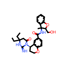 CCC1(CC)CC(=O)N([C@@H]2CCOc3ccc(C(=O)NC4(C)c5ccccc5OC4CO)cc32)C(=N)N1